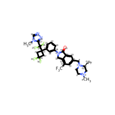 CC(C)[C@H]1CN(C)CCN1Cc1cc2c(c(C(F)(F)F)c1)CN(c1cccc(C3(C(F)(F)c4nncn4C)CC(F)(F)C3)c1)C2=O